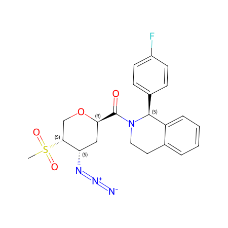 CS(=O)(=O)[C@@H]1CO[C@@H](C(=O)N2CCc3ccccc3[C@@H]2c2ccc(F)cc2)C[C@@H]1N=[N+]=[N-]